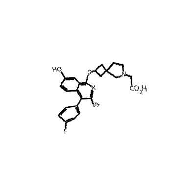 CC(C)c1nc(OC2CC3(CCN(CC(=O)O)C3)C2)c2cc(O)ccc2c1-c1ccc(F)cc1